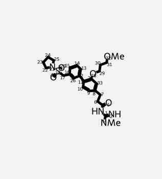 CNC(=N)NC(=O)CCc1ccc(-c2cccc(CS(=O)(=O)N3CCCC3)c2)c(OCCCOC)c1